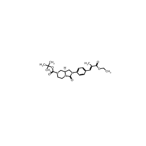 CCOC(=O)/C(C)=C/c1ccc(N2C[C@@H]3CN(C(=O)OC(C)(C)C)CCN3C2=O)cc1